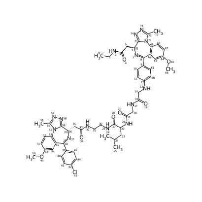 CCNC(=O)C[C@@H]1N=C(c2ccc(NCC(=O)NCC(=O)NC(CC(C)C)C(=O)NCCNC(=O)C[C@@H]3N=C(c4ccc(Cl)cc4)c4cc(OC)ccc4-n4c(C)nnc43)cc2)c2cc(OC)ccc2-n2c(C)nnc21